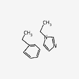 CCc1ccccc1.CCn1ccnc1